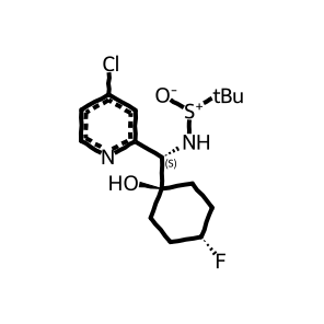 CC(C)(C)[S+]([O-])N[C@@H](c1cc(Cl)ccn1)[C@]1(O)CC[C@H](F)CC1